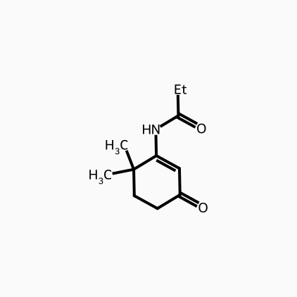 CCC(=O)NC1=CC(=O)CCC1(C)C